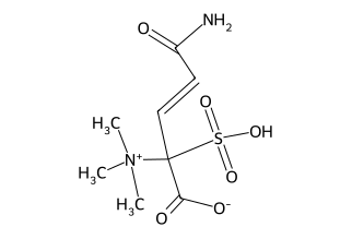 C[N+](C)(C)C(C=CC(N)=O)(C(=O)[O-])S(=O)(=O)O